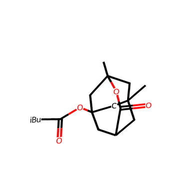 CCC(C)C(=O)OC12CC3CC(C)(CC(C)(C1)OC3=O)C2